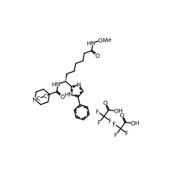 CONC(=O)CCCCC[C@H](NC(=O)C12CCN(CC1)CC2)c1ncc(-c2ccccc2)[nH]1.O=C(O)C(F)(F)F.O=C(O)C(F)(F)F